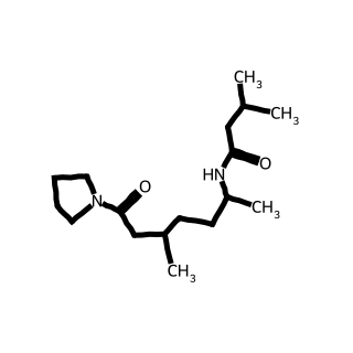 CC(C)CC(=O)NC(C)CCC(C)CC(=O)N1CCCC1